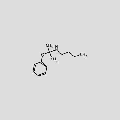 CCCCNC(C)(C)Oc1ccccc1